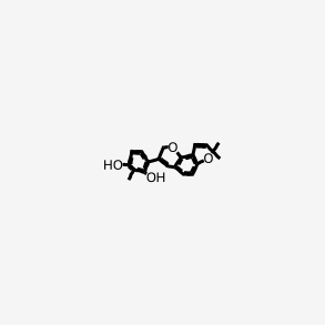 Cc1c(O)ccc(C2=Cc3ccc4c(c3OC2)C=CC(C)(C)O4)c1O